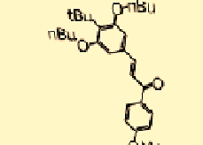 CCCCOc1cc(C=CC(=O)c2ccc(OC)cc2)cc(OCCCC)c1C(C)(C)C